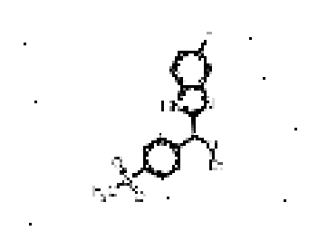 CCOC(c1ccc(S(=O)(=O)C(F)(F)F)cc1)c1nc2cc(F)ccc2[nH]1